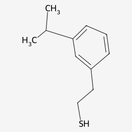 CC(C)c1cccc(CCS)c1